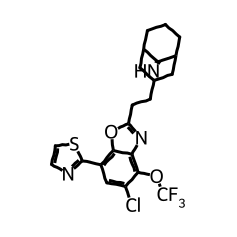 N=C1C2CCCC1CC(CCc1nc3c(OC(F)(F)F)c(Cl)cc(-c4nccs4)c3o1)C2